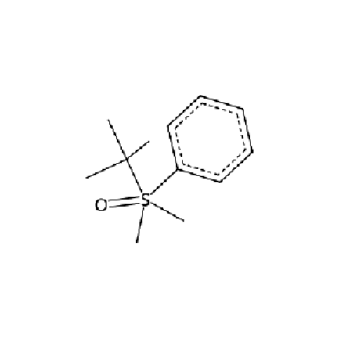 CC(C)(C)S(C)(C)(=O)c1ccccc1